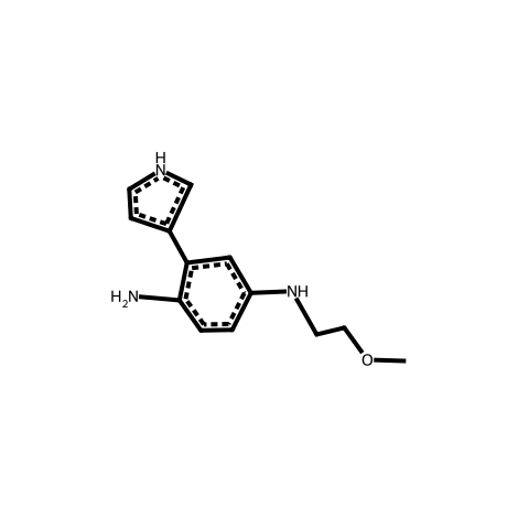 COCCNc1ccc(N)c(-c2cc[nH]c2)c1